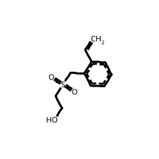 C=Cc1ccccc1CS(=O)(=O)CCO